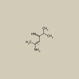 C/C(N)=C\C(=N)C(C)C